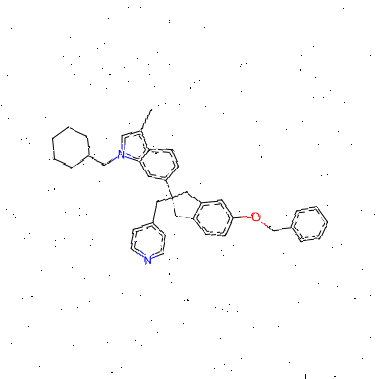 Cc1cn(CC2CCCCC2)c2cc(C3(Cc4ccncc4)Cc4ccc(OCc5ccccc5)cc4C3)ccc12